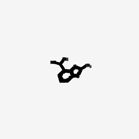 Cc1nc2c(C(O)C#N)cccc2s1